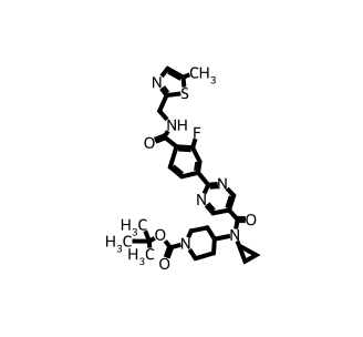 Cc1cnc(CNC(=O)c2ccc(-c3ncc(C(=O)N(C4CC4)C4CCN(C(=O)OC(C)(C)C)CC4)cn3)cc2F)s1